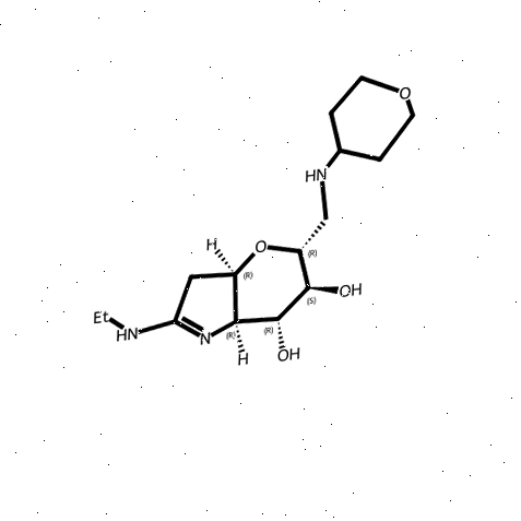 CCNC1=N[C@@H]2[C@@H](O)[C@H](O)[C@@H](CNC3CCOCC3)O[C@@H]2C1